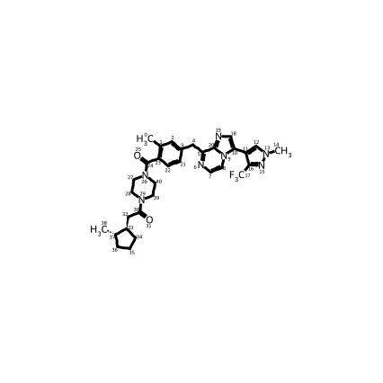 Cc1cc(Cc2nccn3c(-c4cn(C)nc4C(F)(F)F)cnc23)ccc1C(=O)N1CCN(C(=O)C[C@H]2CCC[C@@H]2C)CC1